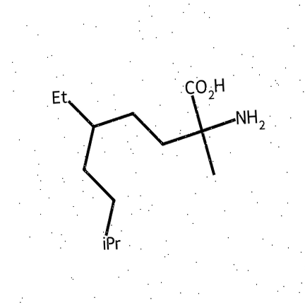 CCC(CCC(C)C)CCC(C)(N)C(=O)O